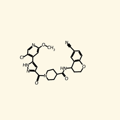 COc1cc(-c2cc(C(=O)N3CCC(C(=O)NC4CCOc5ccc(C#N)cc54)CC3)n[nH]2)c(Cl)cn1